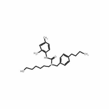 CCCCc1ccc(CN(CCCCCCO)C(=O)Nc2ccc(C)cc2C)cc1